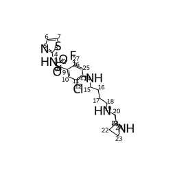 O=S(=O)(Nc1nccs1)c1cc(Cl)c(NCCCCNC[C@@H]2CCN2)cc1F